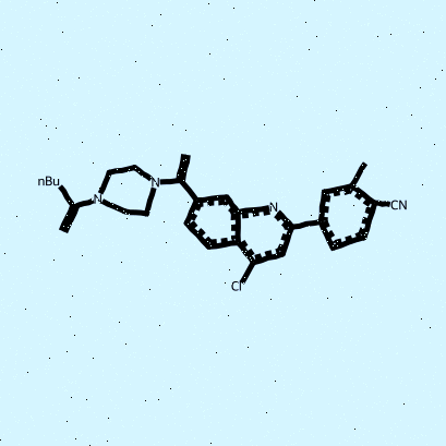 C=C(CCCC)N1CCN(C(=C)c2ccc3c(Cl)cc(-c4ccc(C#N)c(C)c4)nc3c2)CC1